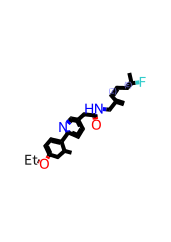 C=C(/C=C\C=C(/C)F)CNC(=O)Cc1ccc(C2=CC=C(OCC)CC2C)nc1